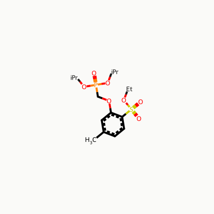 CCOS(=O)(=O)c1ccc(C)cc1OCP(=O)(OC(C)C)OC(C)C